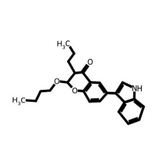 CCCCOC1Oc2ccc(-c3c[nH]c4ccccc34)cc2C(=O)C1CCC